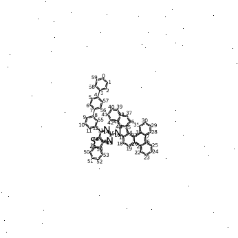 c1ccc(-c2ccc(-c3cccc(-c4nc(-n5c6ccc7c8ccccc8c8ccccc8c7c6c6ccc7ccccc7c65)nc5c4sc4ccccc45)c3)cc2)cc1